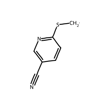 [CH2]Sc1ccc(C#N)cn1